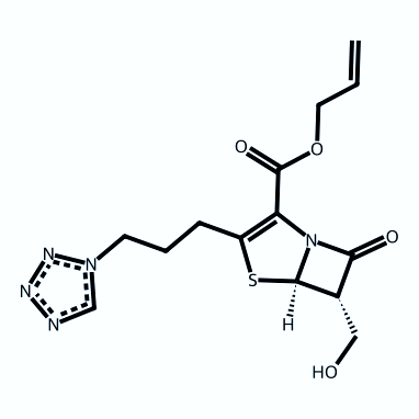 C=CCOC(=O)C1=C(CCCn2cnnn2)S[C@@H]2[C@@H](CO)C(=O)N12